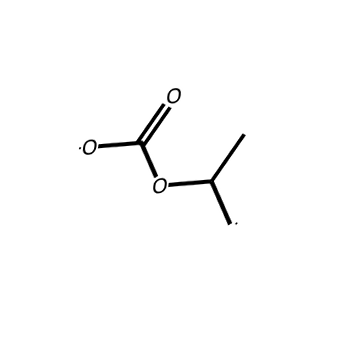 [CH2]C(C)OC([O])=O